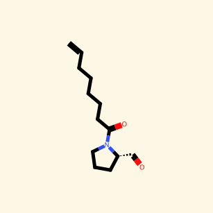 C=CCCCCCC(=O)N1CCC[C@H]1C=O